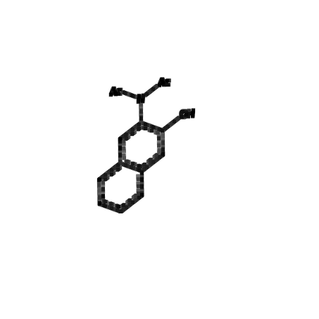 CC(=O)N(C(C)=O)c1cc2ccccc2cc1O